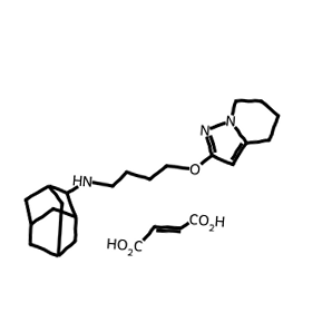 O=C(O)C=CC(=O)O.c1c(OCCCCNC2C3CC4CC(C3)CC2C4)nn2c1CCCC2